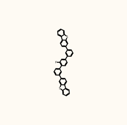 Fc1cc(-c2cccc(-c3ccc4c(c3)sc3ccccc34)c2)ccc1-c1cccc(-c2ccc3c(c2)sc2ccccc23)c1